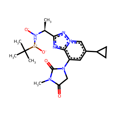 C[C@@H](c1nc2c(N3CC(=O)N(C)C3=O)cc(C3CC3)cn2n1)[NH+]([O-])[S+]([O-])C(C)(C)C